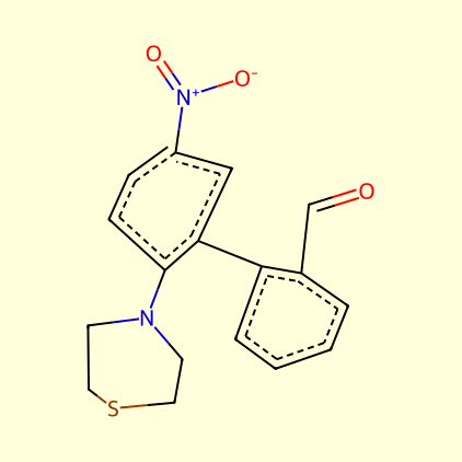 O=Cc1ccccc1-c1cc([N+](=O)[O-])ccc1N1CCSCC1